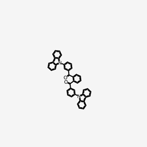 O=C(c1cccc(-n2c3ccccc3c3ccccc32)c1)c1ccccc1C(=O)c1cccc(-n2c3ccccc3c3ccccc32)c1